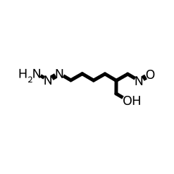 NN=NCCCCC(CO)CN=O